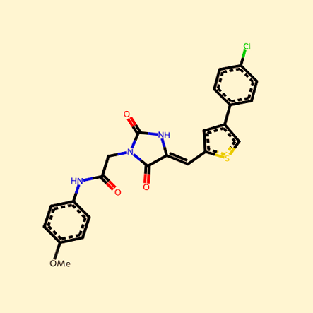 COc1ccc(NC(=O)CN2C(=O)N/C(=C\c3cc(-c4ccc(Cl)cc4)cs3)C2=O)cc1